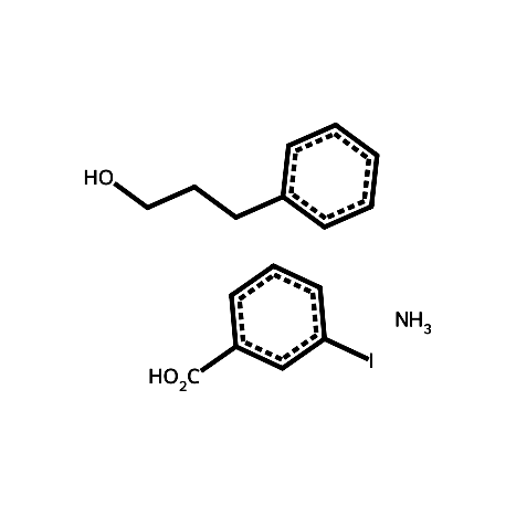 N.O=C(O)c1cccc(I)c1.OCCCc1ccccc1